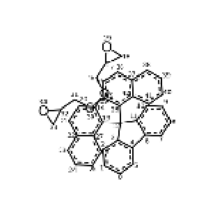 c1ccc2c(c1)-c1ccccc1C2(c1c(OCC2CO2)ccc2ccccc12)c1c(OCC2CO2)ccc2ccccc12